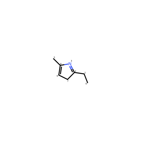 CCC1=NC(C)=CC1